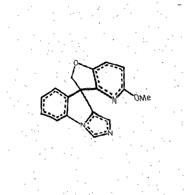 COc1ccc2c(n1)C1(CO2)c2ccccc2-n2cncc21